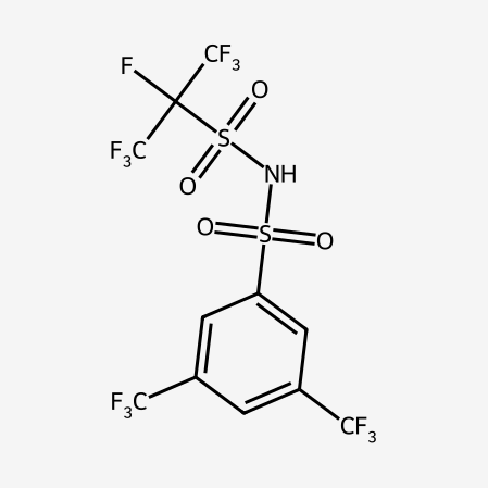 O=S(=O)(NS(=O)(=O)C(F)(C(F)(F)F)C(F)(F)F)c1cc(C(F)(F)F)cc(C(F)(F)F)c1